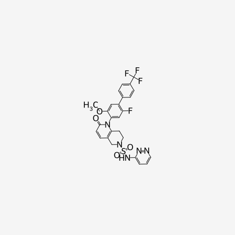 COc1cc(-c2ccc(C(F)(F)F)cc2)c(F)cc1-n1c2c(ccc1=O)CN(S(=O)(=O)Nc1cccnn1)CC2